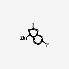 Cc1cc(C(C)(C)C)c2ccc(F)cc2c1